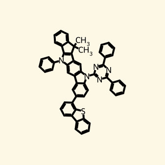 CC1(C)c2ccccc2-c2c1c1cc3c(cc1n2-c1ccccc1)c1cc(-c2cccc4c2sc2ccccc24)ccc1n3-c1nc(-c2ccccc2)nc(-c2ccccc2)n1